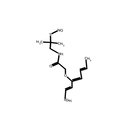 CC=CC=C(C=CCCCCCCCCCC)OCC(=O)NCC(C)(C)SN=O